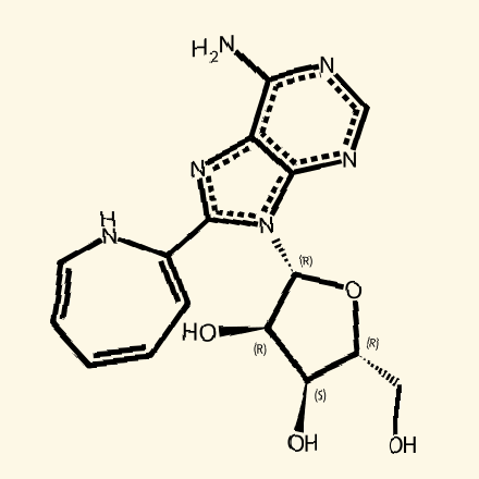 Nc1ncnc2c1nc(C1=CC=CC=CN1)n2[C@@H]1O[C@H](CO)[C@@H](O)[C@H]1O